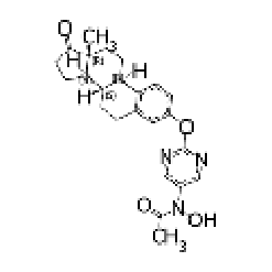 CC(=O)N(O)c1cnc(Oc2ccc3c(c2)CC[C@@H]2[C@H]4CCC(=O)[C@]4(C)CC[C@@H]32)nc1